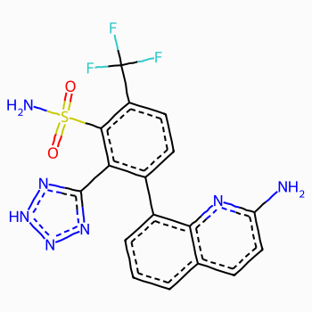 Nc1ccc2cccc(-c3ccc(C(F)(F)F)c(S(N)(=O)=O)c3-c3nn[nH]n3)c2n1